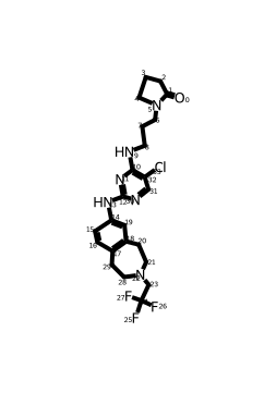 O=C1CCCN1CCCNc1nc(Nc2ccc3c(c2)CCN(CC(F)(F)F)CC3)ncc1Cl